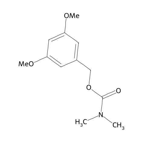 COc1cc(COC(=O)N(C)C)cc(OC)c1